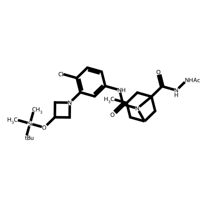 CC(=O)NNC(=O)C12CC(C)CC(C1)N2C(=O)Nc1ccc(Cl)c(N2CC(O[Si](C)(C)C(C)(C)C)C2)c1